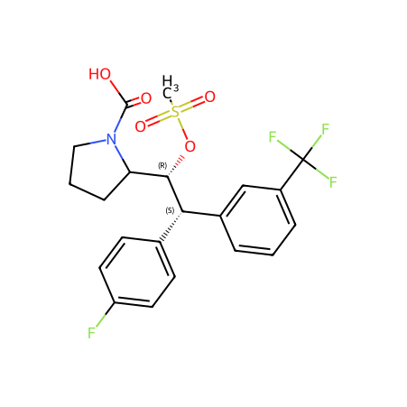 CS(=O)(=O)O[C@@H](C1CCCN1C(=O)O)[C@@H](c1ccc(F)cc1)c1cccc(C(F)(F)F)c1